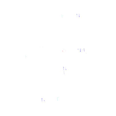 NC1CNCC2(O1)c1cc(-c3cccnc3F)ccc1Oc1c(F)cc(-c3ccnc(F)c3)cc12